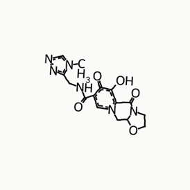 Cn1cnnc1CNC(=O)c1cn2c(c(O)c1=O)C(=O)N1CCOC1C2